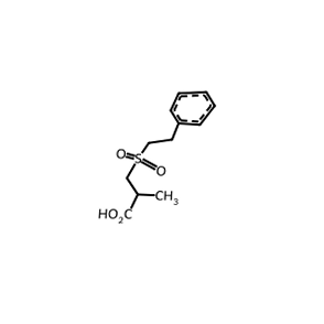 CC(CS(=O)(=O)CCc1ccccc1)C(=O)O